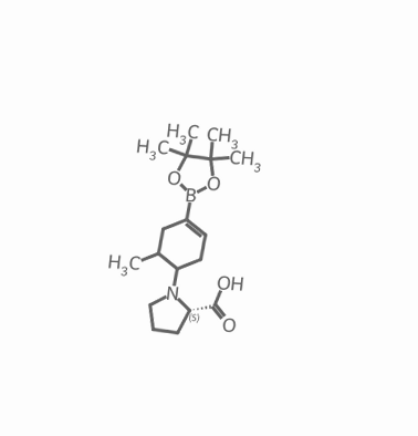 CC1CC(B2OC(C)(C)C(C)(C)O2)=CCC1N1CCC[C@H]1C(=O)O